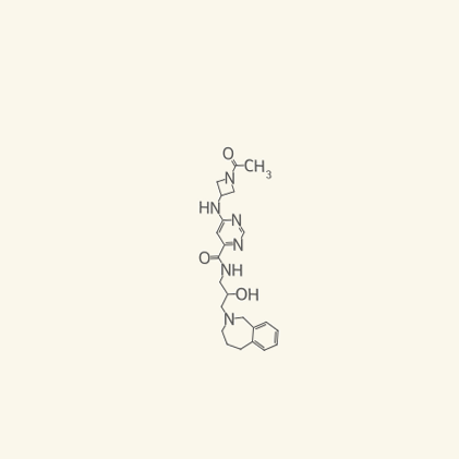 CC(=O)N1CC(Nc2cc(C(=O)NCC(O)CN3CCCc4ccccc4C3)ncn2)C1